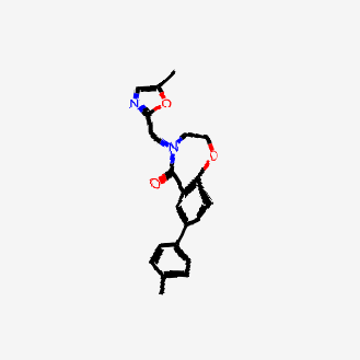 Cc1ccc(-c2ccc3c(c2)C(=O)N(Cc2ncc(C)o2)CCO3)cc1